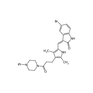 Cc1[nH]c(C=C2C(=O)Nc3ccc(Br)cc32)c(C)c1CCC(=O)N1CCN(C(C)C)CC1